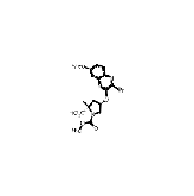 COc1ccc2nc(C(C)C)c(O[C@H]3CN(C(=O)OC(C)(C)C)[C@](C)(C(=O)O)C3)nc2c1